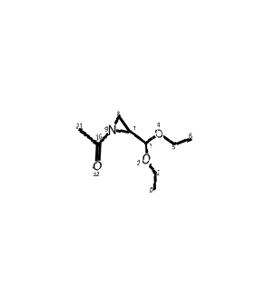 CCOC(OCC)C1CN1C(C)=O